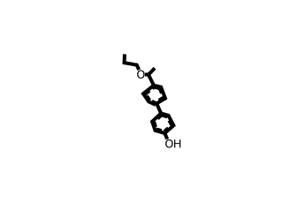 CCCOC(C)c1ccc(-c2ccc(O)cc2)cc1